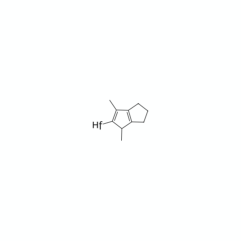 CC1=[C]([Hf])C(C)C2=C1CCC2